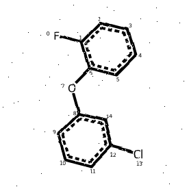 Fc1ccccc1Oc1cccc(Cl)c1